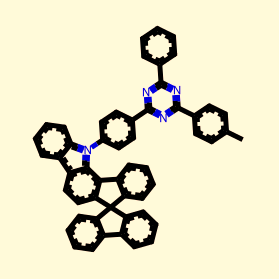 Cc1ccc(-c2nc(-c3ccccc3)nc(-c3ccc(-n4c5ccccc5c5ccc6c(c54)-c4ccccc4C64c5ccccc5-c5ccccc54)cc3)n2)cc1